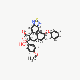 COc1ccc(C2(O)OC(=O)C(c3ccc4nsnc4c3)=C2Cc2ccc(Oc3ccccc3)cc2)cc1